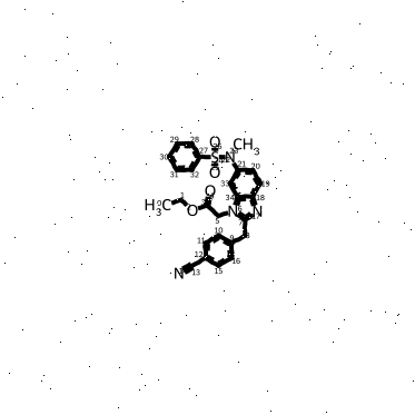 CCOC(=O)Cn1c(Cc2ccc(C#N)cc2)nc2ccc(N(C)S(=O)(=O)c3ccccc3)cc21